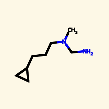 CN(CN)CCCC1CC1